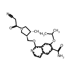 CC(C)Oc1cc2c(OC[C@H]3CN(C(=O)CC#N)C[C@@H]3C)nccc2cc1C(N)=O